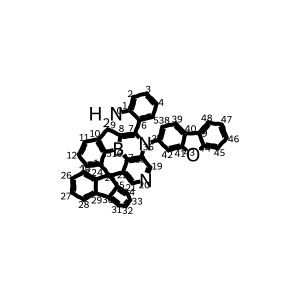 Nc1ccccc1C1=C2Cc3cccc4c3B2c2c(cncc2C42c3ccccc3-c3ccccc32)N1c1ccc2c(c1)oc1ccccc12